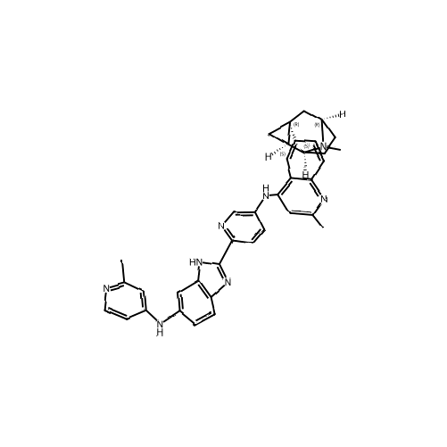 Cc1cc(Nc2ccc3nc(-c4ccc(Nc5cc(C)nc6ccc([C@]78C[C@H]9CC[C@@H]([C@H]7C8)N9C)cc56)cn4)[nH]c3c2)ccn1